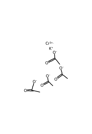 CC(=O)[O-].CC(=O)[O-].CC(=O)[O-].CC(=O)[O-].[Cr+3].[K+]